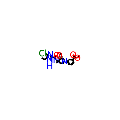 CCc1[nH]c(C(=O)N[C@@H]2CCN(c3cccc(C(=O)OC)c3)C[C@@H]2OC)nc1Cl